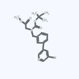 COC(=O)CN(Cc1cccc(-c2cncc(Br)c2)c1)C(=O)OC(C)(C)C